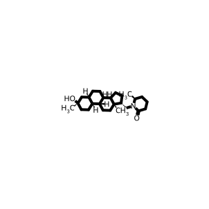 C[C@H]1CCCC(=O)N1C[C@H]1CC[C@H]2[C@@H]3CC[C@@H]4C[C@](C)(O)CC[C@@H]4[C@H]3CC[C@]12C